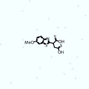 COc1ccc2nc(C(CC(O)=S)C(O)=S)sc2c1